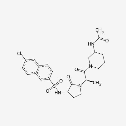 CC(=O)NC1CCCN(C(=O)[C@@H](C)N2CC[C@H](NS(=O)(=O)c3ccc4cc(Cl)ccc4c3)C2=O)C1